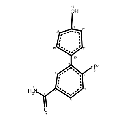 CCCc1ccc(C(N)=O)cc1-c1ccc(O)cc1